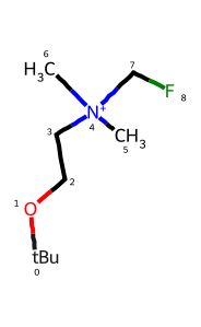 CC(C)(C)OCC[N+](C)(C)CF